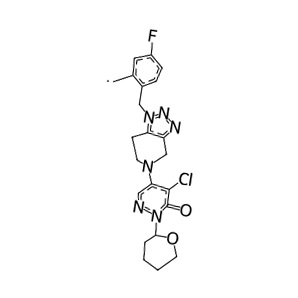 [CH2]c1cc(F)ccc1Cn1nnc2c1CCN(c1cnn(C3CCCCO3)c(=O)c1Cl)C2